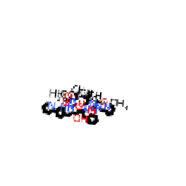 CCC(C)C(C(=O)NC(Cc1ccccc1)CC(O)C(Cc1ccc(-c2ccccn2)cc1)NC(=O)N(CC(C)(C)C)C(=O)OC)N1CC(=O)N(Cc2cccc(C)n2)C1=O